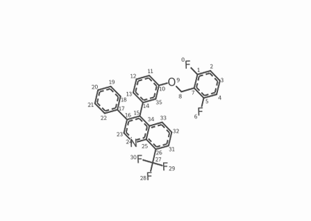 Fc1cccc(F)c1COc1cccc(-c2c(-c3ccccc3)cnc3c(C(F)(F)F)cccc23)c1